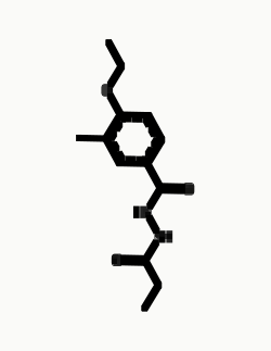 CCOc1ccc(C(=O)NNC(=O)CC)cc1C